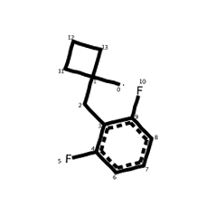 [CH2]C1(Cc2c(F)cccc2F)CCC1